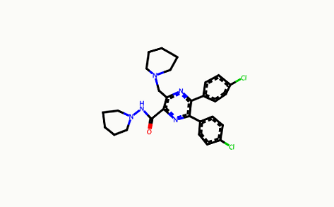 O=C(NN1CCCCC1)c1nc(-c2ccc(Cl)cc2)c(-c2ccc(Cl)cc2)nc1CN1CCCCC1